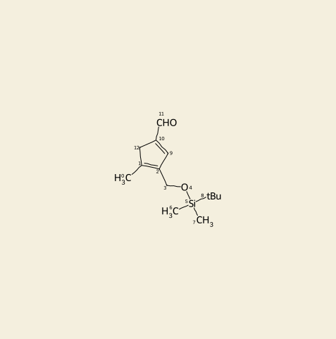 CC1=C(CO[Si](C)(C)C(C)(C)C)C=C(C=O)C1